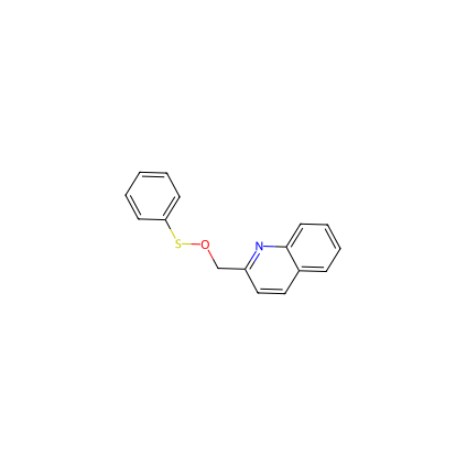 c1ccc(SOCc2ccc3ccccc3n2)cc1